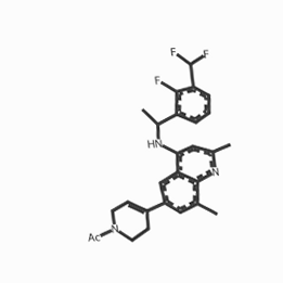 CC(=O)N1CC=C(c2cc(C)c3nc(C)cc(NC(C)c4cccc(C(F)F)c4F)c3c2)CC1